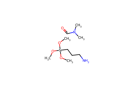 CN(C)C=O.CO[Si](CCCN)(OC)OC